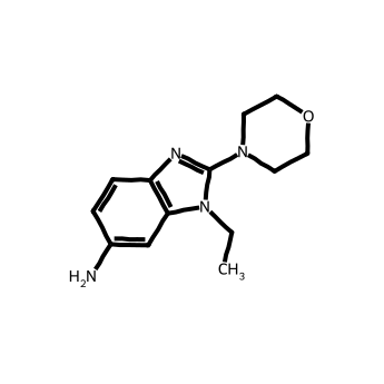 CCn1c(N2CCOCC2)nc2ccc(N)cc21